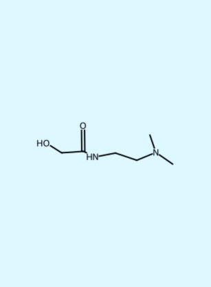 CN(C)CCNC(=O)CO